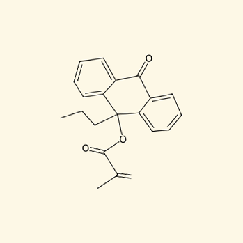 C=C(C)C(=O)OC1(CCC)c2ccccc2C(=O)c2ccccc21